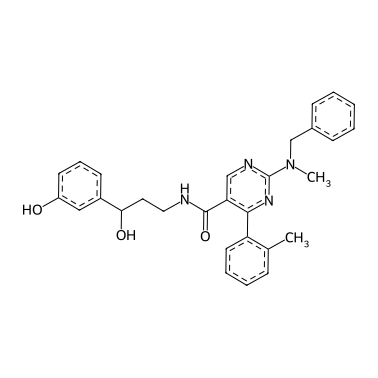 Cc1ccccc1-c1nc(N(C)Cc2ccccc2)ncc1C(=O)NCCC(O)c1cccc(O)c1